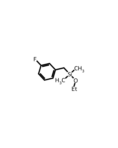 CCO[Si](C)(C)Cc1cccc(F)c1